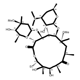 CC[C@@H]1OC(=O)[C@H](C)[C@@H](O[C@H]2C[C@](C)(OC)[C@@H](O)[C@H](C)O2)[C@H](C)[C@@H](O[C@@H]2O[C@H](C)C[C@H](N(C)C)[C@H]2O)[C@](C)(OC)C[C@@H](C)C(=O)[C@@H](C)[C@@H](O)[C@]1(C)O